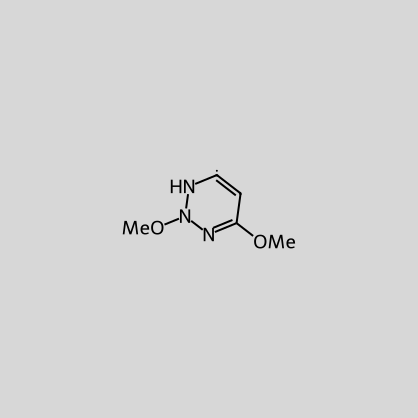 COC1=NN(OC)N[C]=C1